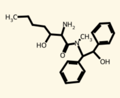 CCCCC(O)C(N)C(=O)N(C)C(c1ccccc1)C(O)c1ccccc1